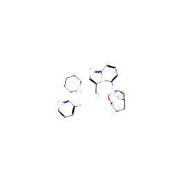 CN1C2CCC1CN(c1cccc3nc([C@H]4CCC[C@@H](c5ncccc5Cl)N4C)c(CO)n13)C2